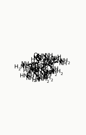 CCC(CC(CC(C)C(=O)NNC(CCCNC(=N)N)C(=O)N[C@@H](CCCNC(=N)N)C(=O)NC(CCCNC(=N)N)C(=O)N[C@@H](CCCNC(=N)N)C(=O)NC(CCCNC(=N)N)C(=O)N[C@@H](CCCNC(=N)N)C(=O)NC(CCCNC(=N)N)C(=O)C(=O)[C@H](CCCNC(=N)N)NC(N)=O)C(=O)O)NC(C)=O